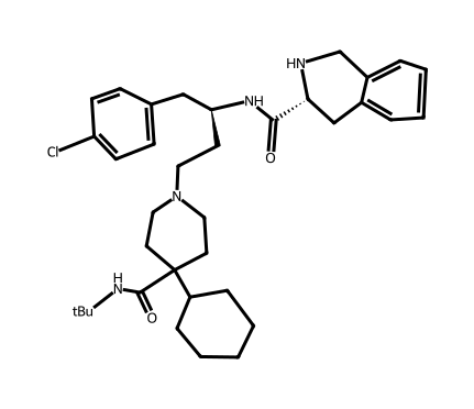 CC(C)(C)NC(=O)C1(C2CCCCC2)CCN(CC[C@@H](Cc2ccc(Cl)cc2)NC(=O)[C@H]2Cc3ccccc3CN2)CC1